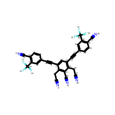 N#CCc1c(C#Cc2ccc(C#N)c(C(F)(F)F)c2)cc(C#Cc2ccc(C#N)c(C(F)(F)F)c2)c(CC#N)c1C#N